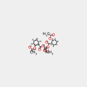 CC(=O)Oc1ccccc1C(=O)[O][Al]([OH])[O]C(=O)c1ccccc1OC(C)=O.[AlH3]